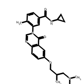 Cc1ccc(C(=O)NC2CC2)cc1-n1cnc2ccc(OCC(C)CN(C)C)cc2c1=O